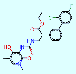 CCOC(=O)C(CNC(=O)Nc1c(O)c(C)cn(C)c1=O)c1cccc(-c2ccc(F)cc2Cl)c1